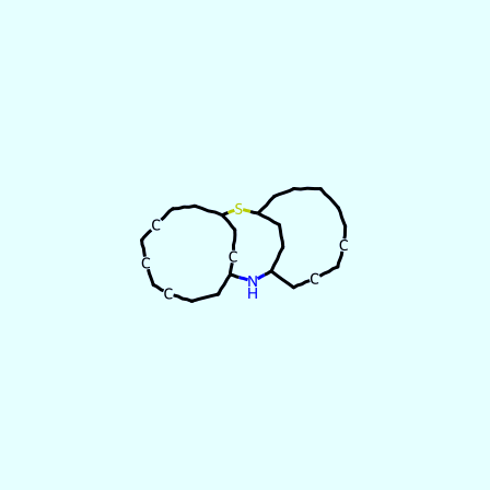 C1CCCCC2CCC(CCCC1)SC1CCCCCCCCCC(CC1)N2